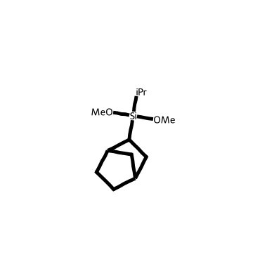 CO[Si](OC)(C(C)C)C1CC2CCC1C2